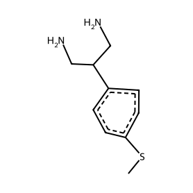 CSc1ccc(C(CN)CN)cc1